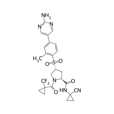 Cc1cc(-c2cnc(N)nc2)ccc1S(=O)(=O)[C@@H]1C[C@@H](C(=O)NC2(C#N)CC2)N(C(=O)C2(C(F)(F)F)CC2)C1